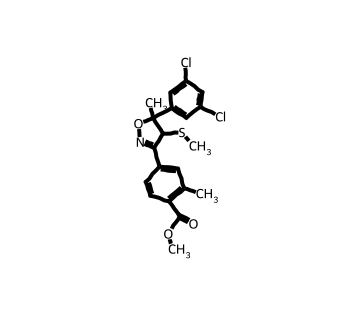 COC(=O)c1ccc(C2=NOC(C)(c3cc(Cl)cc(Cl)c3)C2SC)cc1C